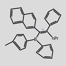 CCC/C(=C(\B(c1ccccc1)c1ccc(C)cc1)c1ccc2ccccc2c1)c1ccccc1